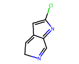 ClC1=CC2=CCN=CC2=N1